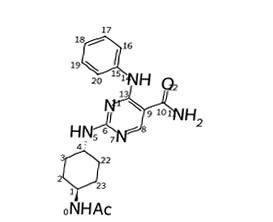 CC(=O)N[C@H]1CC[C@H](Nc2ncc(C(N)=O)c(Nc3ccccc3)n2)CC1